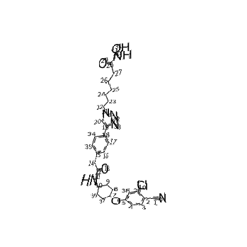 N#Cc1ccc(OC2CCC(NC(=O)Cc3ccc(-c4cn(CCCCCCC(=O)NO)nn4)cc3)CC2)cc1Cl